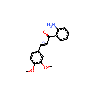 COc1ccc(/C=C/C(=O)c2ccccc2N)cc1OC